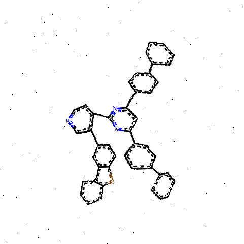 c1ccc(-c2ccc(-c3cc(-c4ccc(-c5ccccc5)cc4)nc(-c4ccncc4-c4ccc5sc6ccccc6c5c4)n3)cc2)cc1